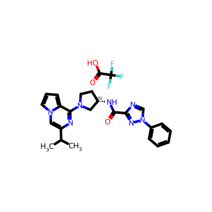 CC(C)c1cn2cccc2c(N2CC[C@H](NC(=O)c3ncn(-c4ccccc4)n3)C2)n1.O=C(O)C(F)(F)F